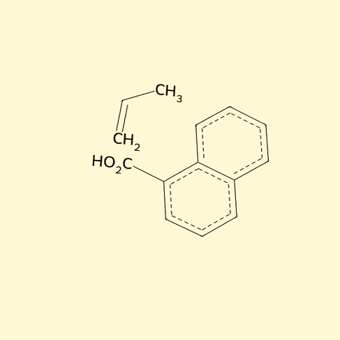 C=CC.O=C(O)c1cccc2ccccc12